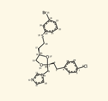 Clc1ccc(CC[C@@]2(Cn3ccnc3)OC[C@@H](CCSc3cccc(Br)c3)O2)cc1